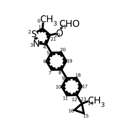 Cc1snc(-c2ccc(-c3ccc(C4(C)CC4)cc3)cc2)c1OC=O